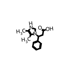 CC1=C(C)N(C(CC(=O)O)c2ccccc2)CN1